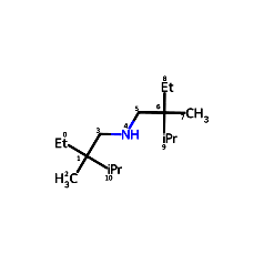 CCC(C)(CNCC(C)(CC)C(C)C)C(C)C